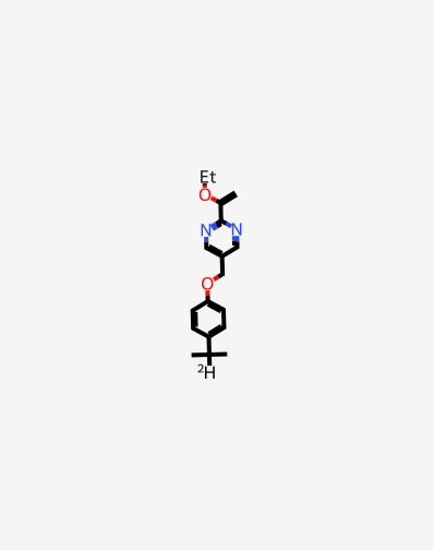 [2H]C(C)(C)c1ccc(OCc2cnc(C(=C)OCC)nc2)cc1